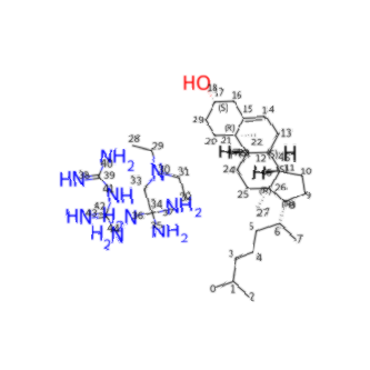 CC(C)CCCC(C)[C@H]1CC[C@H]2[C@@H]3CC=C4C[C@@H](O)CC[C@]4(C)[C@H]3CC[C@]12C.CCN(CC)CC(N)(N)N.N=C(N)NC(=N)N